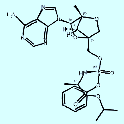 CC(C)OC(=O)[C@@H](C)N[P@](=O)(OC[C@]12CO[C@](C)([C@@H]1O)[C@H](n1cnc3c(N)ncnc31)O2)Oc1ccccc1